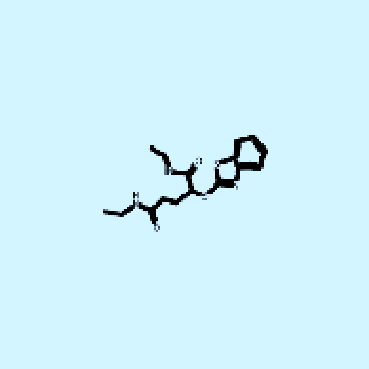 CCNC(=O)CCC(Sc1nc2ccccc2s1)C(=O)NCC